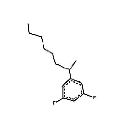 CCCCCCC(C)c1cc(F)cc(F)c1